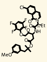 CC[C@@H](C(=O)NC(CC(=O)OC(C)(C)Cc1cccc(OC)c1)C(=O)COc1c(F)c(F)cc(F)c1F)n1ccc2ccc(Cl)cc2c1=O